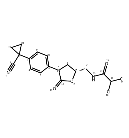 N#CC1(c2ccc(N3C[C@H](CNC(=O)C(Cl)Cl)OC3=O)cc2)CC1